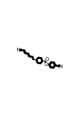 N#CC=CC=CCC[C@H]1CC[C@H](C(=O)Oc2ccc(C#N)cc2)CC1